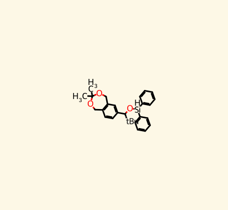 CC1(C)OCc2ccc(C(O[SiH](c3ccccc3)c3ccccc3)C(C)(C)C)cc2CO1